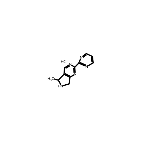 CC1NCc2nc(-c3ncccn3)ncc21.Cl